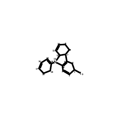 IC1C=CC2=C(C1)C1CCC=CC1N2C1=CC=CCC1